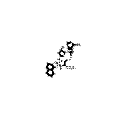 CCOC(=O)[C@H](CC(C)C)NP(=O)(OC[C@@H]1C[C@H](O)[C@H](n2c(Cl)nc3c(N)ncnc32)O1)Oc1cccc2ccccc12